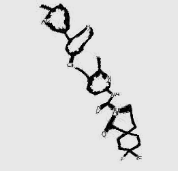 Cc1ccc(-c2cc(Oc3ccc(NC(=O)N4CCC5(CCC(F)(F)CC5)C4=O)nc3C)ccn2)cn1